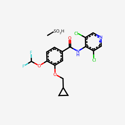 CS(=O)(=O)O.O=C(Nc1c(Cl)cncc1Cl)c1ccc(OC(F)F)c(OCC2CC2)c1